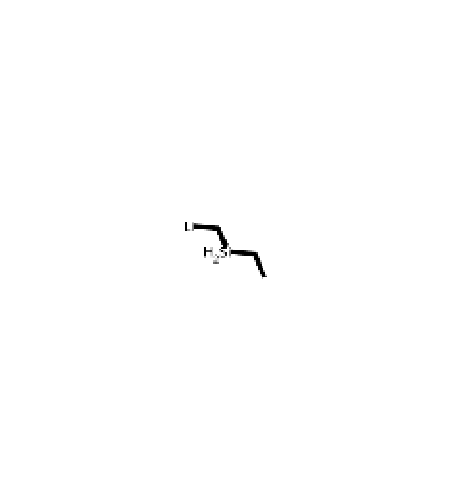 [Li][CH2][SiH2]CC